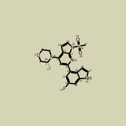 C[C@@H]1COCCN1c1cc(-c2cc(F)cc3[nH]ccc23)nc2c1ccn2S(C)(=O)=O